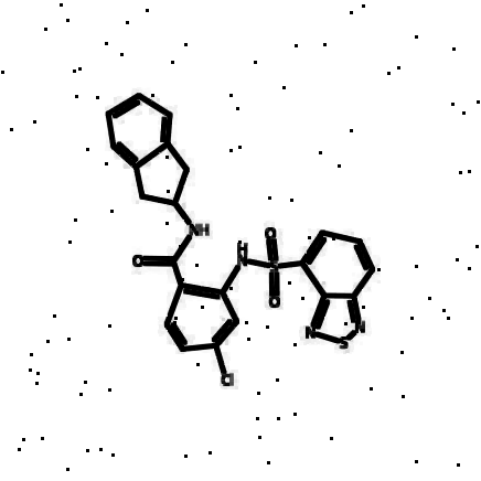 O=C(NC1Cc2ccccc2C1)c1ccc(Cl)cc1NS(=O)(=O)c1cccc2nsnc12